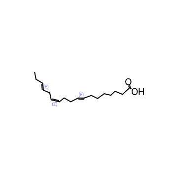 CC/C=C/C/C=C\CC/C=C/CCCCCCC(=O)O